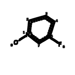 [O-][n+]1cc[c]c(F)c1